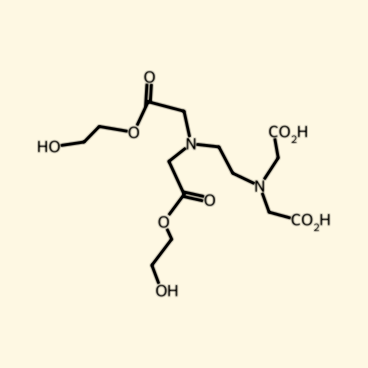 O=C(O)CN(CCN(CC(=O)OCCO)CC(=O)OCCO)CC(=O)O